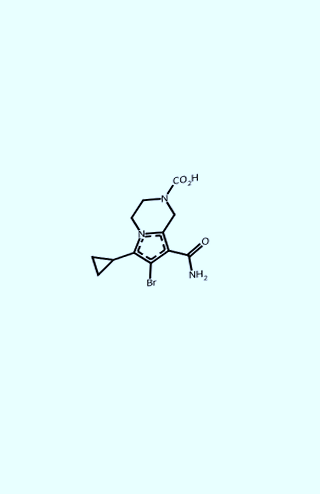 NC(=O)c1c(Br)c(C2CC2)n2c1CN(C(=O)O)CC2